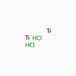 Cl.Cl.[Ti].[Ti]